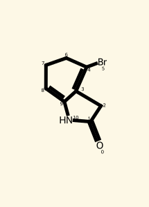 O=C1CC2=C(Br)CCC=C2N1